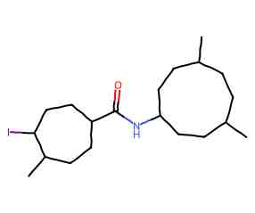 CC1CCC(C)CCC(NC(=O)C2CCC(C)C(I)CC2)CC1